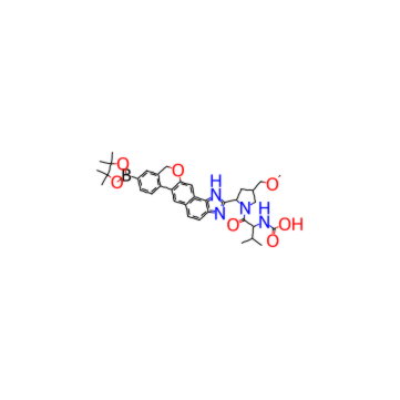 COCC1CC(c2nc3ccc4cc5c(cc4c3[nH]2)OCc2cc(B3OC(C)(C)C(C)(C)O3)ccc2-5)N(C(=O)C(NC(=O)O)C(C)C)C1